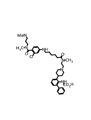 CNCCCN(C)C(=O)c1ccc(NCCCCCC(=O)N(C)CCN2CCC(c3cccc(-c4ccccc4)c3NC(=O)O)CC2)cc1Cl